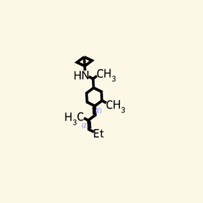 CC/C=C(C)\C=C1/CCC(C(C)NC23CC2C3)CC1C